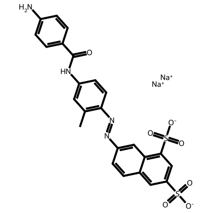 Cc1cc(NC(=O)c2ccc(N)cc2)ccc1N=Nc1ccc2cc(S(=O)(=O)[O-])cc(S(=O)(=O)[O-])c2c1.[Na+].[Na+]